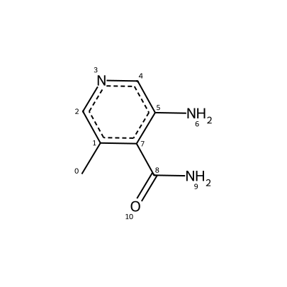 Cc1cncc(N)c1C(N)=O